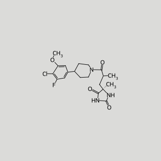 COc1cc(C2CCN(C(=O)C(C)C[C@@]3(C)NC(=O)NC3=O)CC2)cc(F)c1Cl